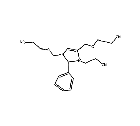 N#CCCOCC1=CN(COCCC#N)C(c2ccccc2)N1CCC#N